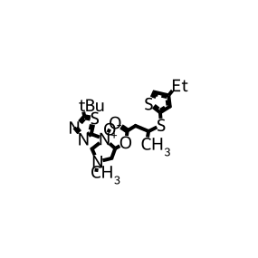 CCc1csc(SC(C)CC(=O)OC2CN(C)C[N+]2([O-])c2nnc(C(C)(C)C)s2)c1